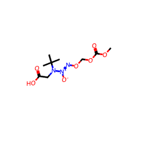 COC(=O)OCON=[N+]([O-])N(CC(=O)O)C(C)(C)C